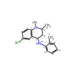 CC(=O)N1c2ccc(Br)cc2C(Nc2ccccc2C)CC1C